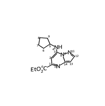 CCOC(=O)c1cc(NC2CCCC2)n2nccc2n1